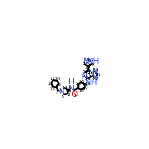 O=C(N[C@@H]1CCN(Cc2ccccc2)C1)c1ccc(Nc2ncc(-c3cn[nH]c3)n3ncnc23)cc1